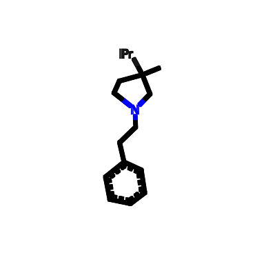 CC(C)C1(C)CCN(CCc2ccccc2)C1